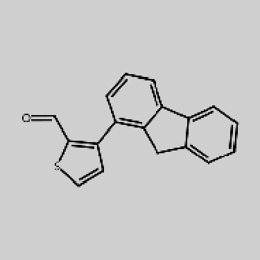 O=Cc1sccc1-c1cccc2c1Cc1ccccc1-2